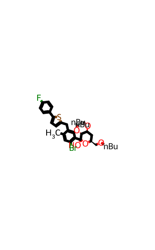 CCCCOC[C@@H]1C[C@H](OCCCC)[C@@H](OCCCC)C(O)(c2cc(Cc3ccc(-c4ccc(F)cc4)s3)c(C)cc2Br)O1